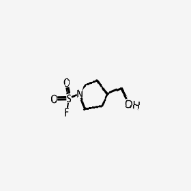 O=S(=O)(F)N1CCC(CO)CC1